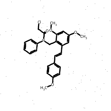 COc1ccc(C=Cc2cc(OC)cc(OC)c2CN(C(=O)CCl)c2ccccc2)cc1